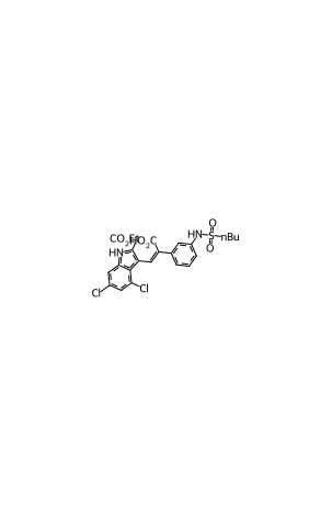 CCCCS(=O)(=O)Nc1cccc(/C(=C/c2c(C(=O)OCC)[nH]c3cc(Cl)cc(Cl)c23)C(=O)O)c1